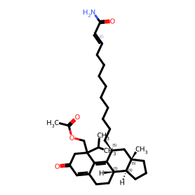 CC(=O)OCC1(C(C)C)CC(=O)C=C2CC[C@@H]3C(=C21)[C@@H](CCCCCCCCC/C=C/C(N)=O)C[C@]1(C)CCC[C@@H]31